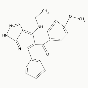 CCNc1c(C(=O)c2ccc(OC)cc2)c(-c2ccccc2)nc2[nH]ncc12